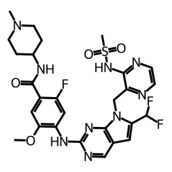 COc1cc(C(=O)NC2CCN(C)CC2)c(F)cc1Nc1ncc2cc(C(F)F)n(Cc3nccnc3NS(C)(=O)=O)c2n1